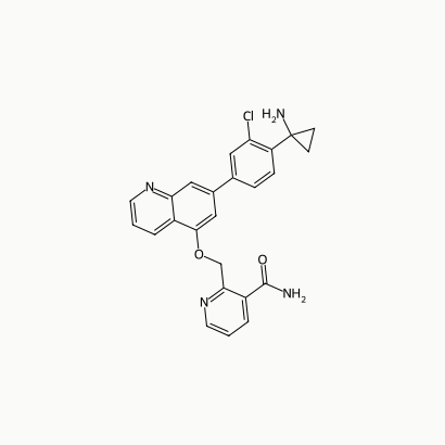 NC(=O)c1cccnc1COc1cc(-c2ccc(C3(N)CC3)c(Cl)c2)cc2ncccc12